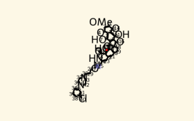 COC1=CC(=O)c2c(O)c3c(c(O)c2C1=O)C(=O)C1(CCc2cc4cc(/C=N/OCCCN5CCN(c6cccc(Cl)c6)CC5)[nH]c(=O)c4c(O)c21)C3=O